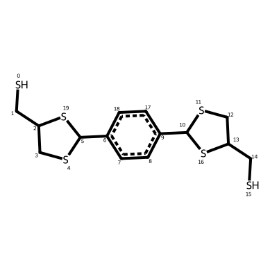 SCC1CSC(c2ccc(C3SCC(CS)S3)cc2)S1